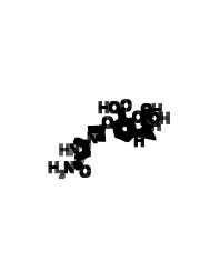 [NH3+]C(=O)[C@H]1C[C@H](N2CC(Oc3ccc4c(c3C(=O)O)O[B-](O)(O)[C@H]3C[C@@H]43)C2)CN1